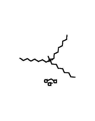 CCCCCCCC[N+](C)(CCCCCCCC)CCCCCCCC.ClCCl.[Cl-]